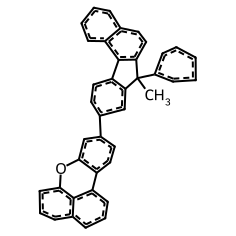 CC1(c2ccccc2)c2cc(-c3ccc4c(c3)Oc3cccc5cccc-4c35)ccc2-c2c1ccc1ccccc21